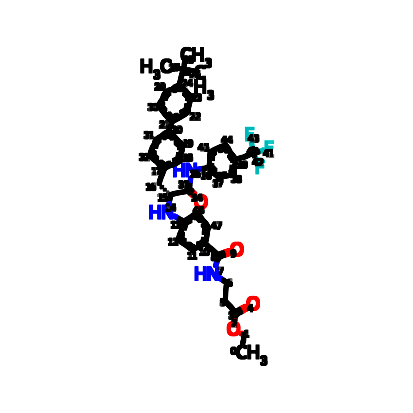 CCOC(=O)CCNC(=O)c1ccc(N[C@H](Cc2ccc(-c3ccc(C(C)(C)C)cc3)cc2)C(=O)Nc2ccc(C(F)(F)F)cc2)cc1